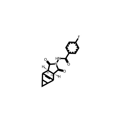 O=C(NN1C(=O)[C@@H]2C3C=CC(C4CC43)[C@@H]2C1=O)c1ccc(F)cc1